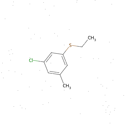 CCSc1cc(C)cc(Cl)c1